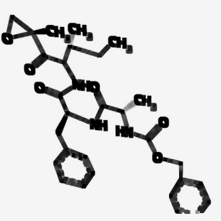 CC[C@@H](C)C(NC(=O)[C@H](Cc1ccccc1)NC(=O)[C@H](C)NC(=O)OCc1ccccc1)C(=O)[C@@]1(C)CO1